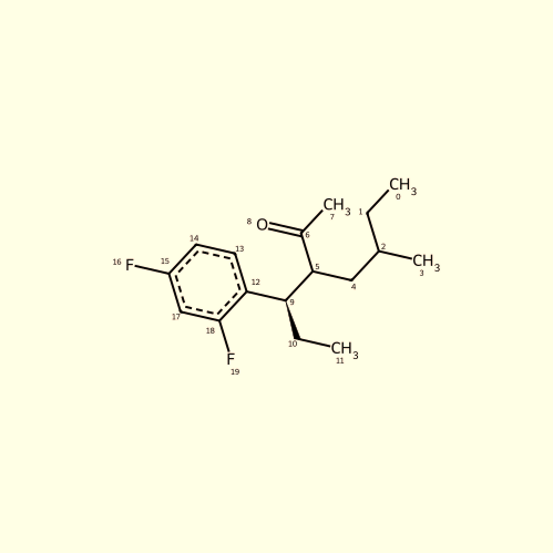 CCC(C)CC(C(C)=O)[C@@H](CC)c1ccc(F)cc1F